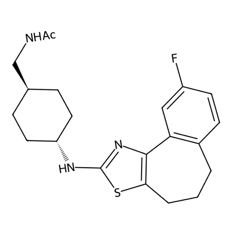 CC(=O)NC[C@H]1CC[C@H](Nc2nc3c(s2)CCCc2ccc(F)cc2-3)CC1